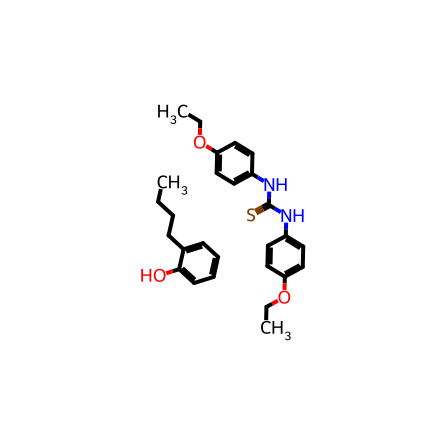 CCCCc1ccccc1O.CCOc1ccc(NC(=S)Nc2ccc(OCC)cc2)cc1